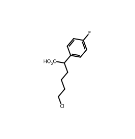 O=C(O)C(CCCCCl)c1ccc(F)cc1